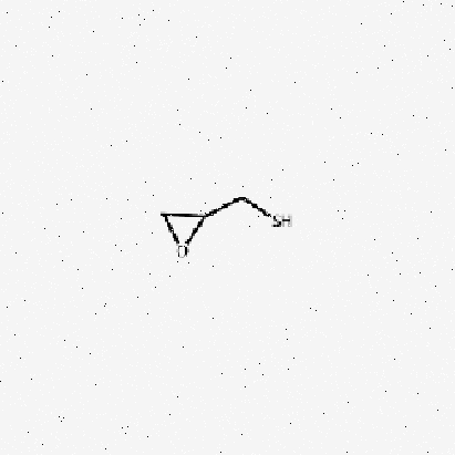 SCC1CO1